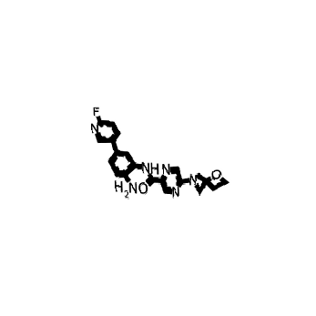 Nc1ccc(-c2ccc(F)nc2)cc1NC(=O)c1cnc(N2CC3(CCO3)C2)cn1